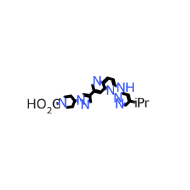 CC(C)c1cnnc(Nc2ccc3ncc(-c4cnn(C5CCN(C(=O)O)CC5)c4)cc3n2)c1